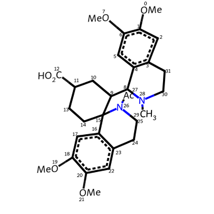 COc1cc2c(cc1OC)C(C1CC(C(=O)O)CCC13c1cc(OC)c(OC)cc1CCN3C(C)=O)N(C)CC2